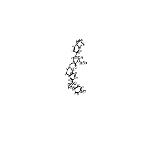 CC(C)(C)OC(=O)N(CC1CCc2cc(S(=O)(=O)Nc3ccc(Cl)cc3)ccc2O1)C[C@H](O)c1ccc2nnnn2c1